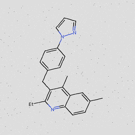 CCc1nc2ccc(C)cc2c(C)c1Cc1ccc(-n2cccn2)cc1